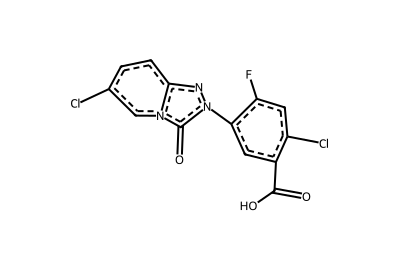 O=C(O)c1cc(-n2nc3ccc(Cl)cn3c2=O)c(F)cc1Cl